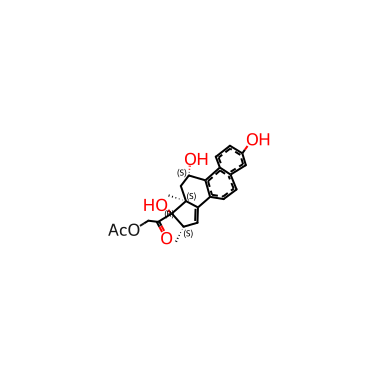 CC(=O)OCC(=O)[C@@]1(O)[C@@H](C)C=C2c3ccc4cc(O)ccc4c3[C@@H](O)C[C@@]21C